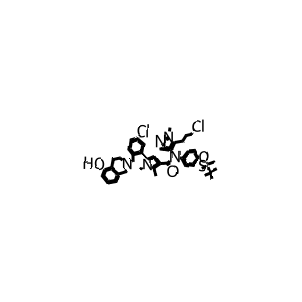 Cc1c(C(=O)N(c2ccc(O[Si](C)(C)C(C)(C)C)cc2)c2cnn(C)c2CCCCl)cc(-c2cc(Cl)ccc2CN2CCc3c(O)cccc3C2)n1C